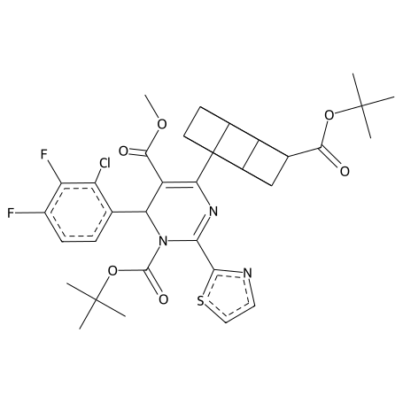 COC(=O)C1=C(C23C4C5C2C2C3C4C52C(=O)OC(C)(C)C)N=C(c2nccs2)N(C(=O)OC(C)(C)C)C1c1ccc(F)c(F)c1Cl